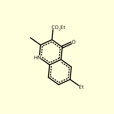 CCOC(=O)c1c(C)[nH]c2ccc(CC)cc2c1=O